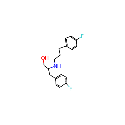 OCC(Cc1ccc(F)cc1)NCCCc1ccc(F)cc1